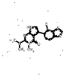 CN(C)c1nc2[nH]cc(-c3ccc4ncsc4c3Cl)c2c(=O)n1C